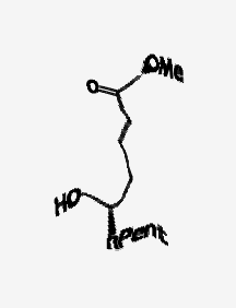 CCCCC[C@@H](O)CCCC(=O)OC